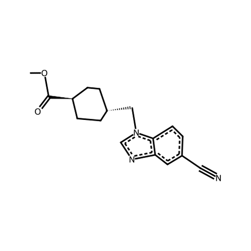 COC(=O)[C@H]1CC[C@H](Cn2cnc3cc(C#N)ccc32)CC1